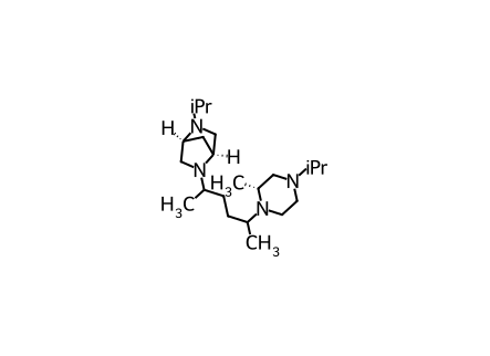 CC(C)N1CCN(C(C)CCC(C)N2C[C@@H]3C[C@H]2CN3C(C)C)[C@H](C)C1